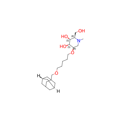 CN1C[C@@H](OCCCCCOCC23CC4C[C@H](C2)C[C@H](C4)C3)[C@@H](O)[C@@H](O)[C@H]1CO